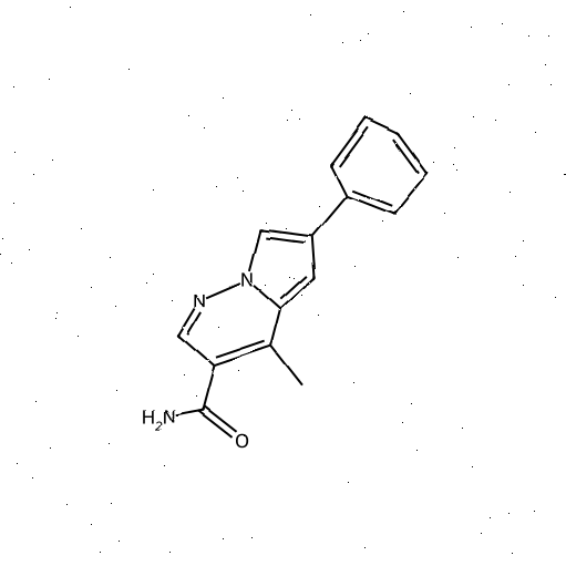 Cc1c(C(N)=O)cnn2cc(-c3ccccc3)cc12